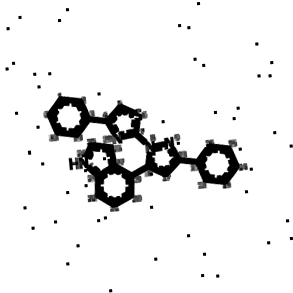 c1ccc(-c2csc(-n3nc(-c4ccccc4)cc3-c3cccc4[nH]ccc34)n2)cc1